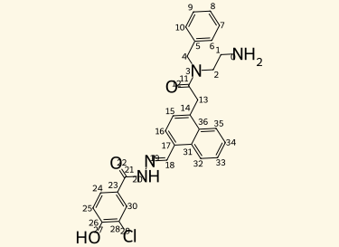 NCCN(Cc1ccccc1)C(=O)Cc1ccc(/C=N/NC(=O)c2ccc(O)c(Cl)c2)c2ccccc12